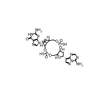 Nc1nc2c(ncn2[C@@H]2O[C@@H]3COP(=O)(S)O[C@H]4C[C@H](c5cnn6c(N)ncnc56)O[C@@H]4COP(=O)(S)O[C@@H]2[C@@H]3F)c(=O)[nH]1